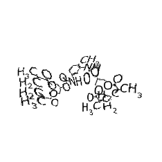 C=C(C)C(=O)OCC(COC(=O)C(=C)C)OC(=O)Nc1ccc(C)c(NC(=O)OC(COC(=O)C(=C)C)COC(=O)C(=C)C)c1